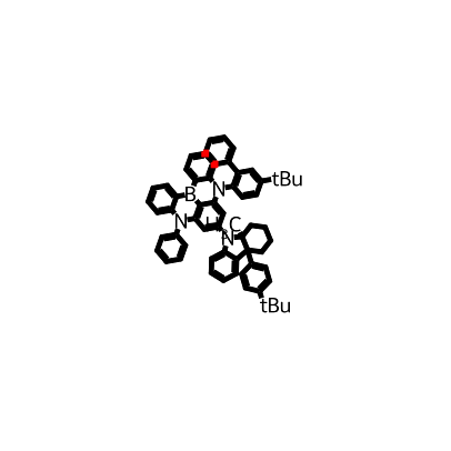 CC(C)(C)c1ccc(C23CCCCC2(C)N(c2cc4c5c(c2)N(c2ccc(C(C)(C)C)cc2-c2ccccc2)c2ccccc2B5c2ccccc2N4c2ccccc2)c2ccccc23)cc1